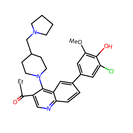 CCC(=O)c1cnc2ccc(-c3cc(Cl)c(O)c(OC)c3)cc2c1N1CCC(CN2CCCC2)CC1